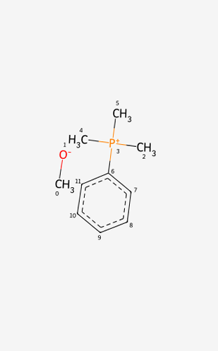 C[O-].C[P+](C)(C)c1ccccc1